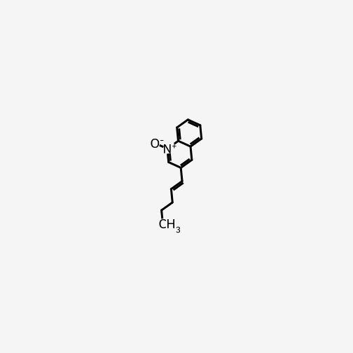 CCCC=Cc1cc2ccccc2[n+]([O-])c1